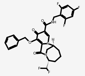 O=C(NCc1c(F)cc(F)cc1F)c1cn2c(c(OCc3ccccc3)c1=O)C(=O)N1C[C@@H]2CCC[C@@H]1C(F)F